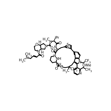 CO[C@@H](C)c1ncccc1-c1c2c3cc(ccc3n1CC(F)(F)F)-c1csc(n1)C[C@H](NC(=O)[C@H](C(C)C)N(C)C(=O)N1C[C@@H]3OCCN(C(=O)/C=C/CN(C)C)[C@@H]3C1)C(=O)N1CCC[C@@](C)(N1)C(=O)OCC(C)(C)C2